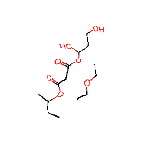 CCC(C)OC(=O)CC(=O)OC(O)CCO.CCOCC